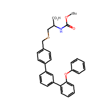 CC(C)(C)OC(=O)NC(CSCc1ccc(-c2cccc(-c3ccccc3Oc3ccccc3)c2)cc1)C(=O)O